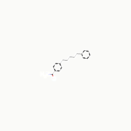 NC(=O)c1ccc(CCCCCc2ccccc2)cc1